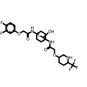 O=C(COc1ccc(F)c(F)c1)NC12CCC(NC(=O)COC3CCC(C(F)(F)F)NC3)(CC1)C(O)C2